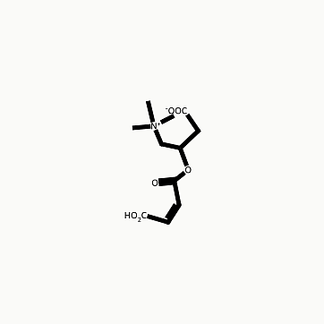 C[N+](C)(C)CC(CC(=O)[O-])OC(=O)/C=C\C(=O)O